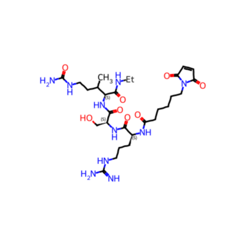 CCNC(=O)[C@@H](NC(=O)[C@H](CO)NC(=O)[C@H](CCCNC(=N)N)NC(=O)CCCCCN1C(=O)C=CC1=O)C(C)CCNC(N)=O